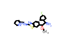 C=CO/C(=C(\N)c1ccc(F)cc1)c1ccc2nc(NCc3ccccn3)sc2c1